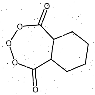 O=C1OOOC(=O)C2CCCCC12